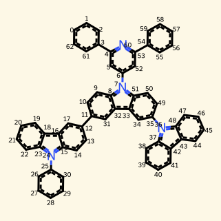 c1ccc(-c2cc(-n3c4ccc(-c5ccc6c(c5)c5ccccc5n6-c5ccccc5)cc4c4cc(-n5c6ccccc6c6ccccc65)ccc43)cc(-c3ccccc3)n2)cc1